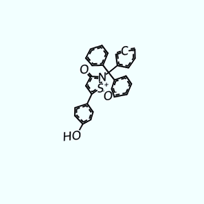 O=c1cc(-c2ccc(O)cc2)[s+]([O-])n1C(c1ccccc1)(c1ccccc1)c1ccccc1